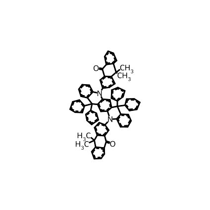 CC1(C)c2ccccc2C(=O)c2cc(N3c4ccccc4C(c4ccccc4)(c4ccccc4)c4cc5c(cc43)C(c3ccccc3)(c3ccccc3)c3ccccc3N5c3ccc4c(c3)C(=O)c3ccccc3C4(C)C)ccc21